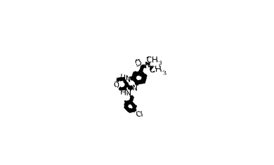 CN(C)C(=O)c1ccc2c(c1)NC1(CCOCC1)C(NCc1cccc(Cl)c1)=N2